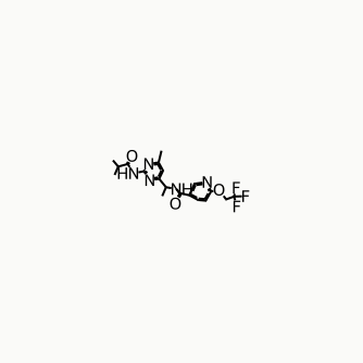 Cc1cc(C(C)NC(=O)c2ccc(OCC(F)(F)F)nc2)nc(NC(=O)C(C)C)n1